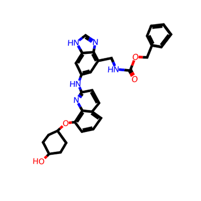 O=C(NCc1cc(Nc2ccc3cccc(OC4CCC(O)CC4)c3n2)cc2[nH]cnc12)OCc1ccccc1